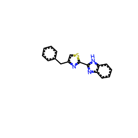 c1ccc(Cc2csc(-c3nc4ccccc4[nH]3)n2)cc1